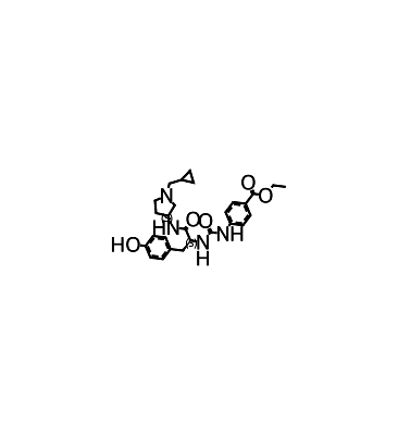 CCOC(=O)c1ccc(NC(=O)N[C@@H](Cc2ccc(O)cc2)C(=O)N[C@H]2CCN(CC3CC3)C2)cc1